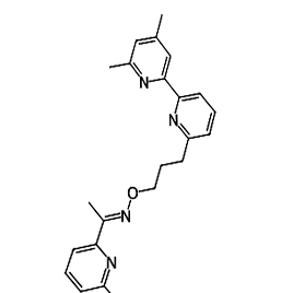 C/C(=N\OCCCc1cccc(-c2cc(C)cc(C)n2)n1)c1cccc(C)n1